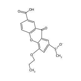 CCCOc1cc([S+](C)[O-])cc2c(=O)c3cc(C(=O)O)ccc3oc12